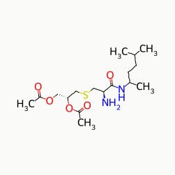 CC(=O)OC[C@H](CSC[C@H](N)C(=O)NC(C)CCC(C)C)OC(C)=O